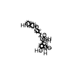 O=C(O)N(CCc1csc(ON2CCC3(CCCNC3)CC2)c1)CC(O)c1ccc(O)c2[nH]c(=O)sc12